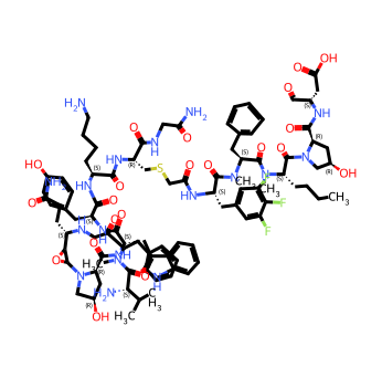 CCCC[C@@H](C(=O)N1C[C@H](O)C[C@@H]1C(=O)N[C@H](C=O)CC(=O)O)N(C)C(=O)[C@H](Cc1ccccc1)N(C)C(=O)[C@H](Cc1cc(F)c(F)c(F)c1)NC(=O)CSC[C@H](NC(=O)[C@H](CCCCN)NC(=O)[C@H](Cc1ccc(O)cc1)NC(=O)[C@H](Cc1c[nH]c2ccccc12)NC(=O)[C@H]1C[C@@H](O)CN1C1OC1[C@H](CCC(N)=O)NCC(=O)C(Cc1ccccc1)N(C)C(=O)[C@@H](N)C(C)C)C(=O)NCC(N)=O